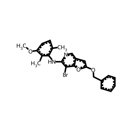 COc1ccc(C)c(Nc2ncc3cc(OCc4ccccc4)oc3c2Br)c1C